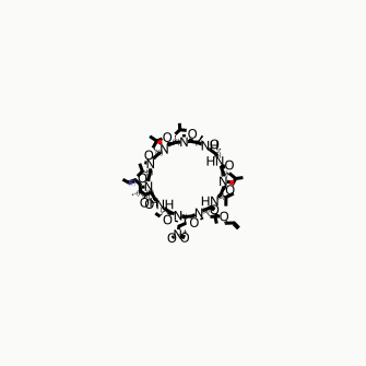 C=CCOC(C)(C)C[C@H]1C(=O)N[C@@H](C(C)C)C(=O)N(C)[C@@H](CC(C)C)C(=O)N[C@@H](C)C(=O)N[C@H](C)C(=O)N(C)[C@@H](CC(C)C)C(=O)N(C)[C@@H](CC(C)C)C(=O)N(C)[C@@H](C(C)C)C(=O)N(C)[C@@H]([C@H](O)[C@H](C)C/C=C/C)C(=O)N[C@@H](CC)C(=O)N(C)[C@H](CC[N+](=O)[O-])C(=O)N1C